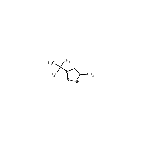 CC1CN(C(C)(C)C)SN1